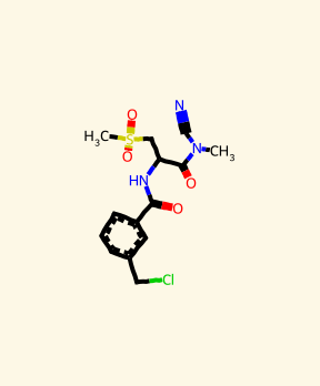 CN(C#N)C(=O)C(CS(C)(=O)=O)NC(=O)c1cccc(CCl)c1